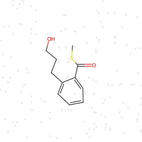 CSC(=O)c1ccccc1CCCO